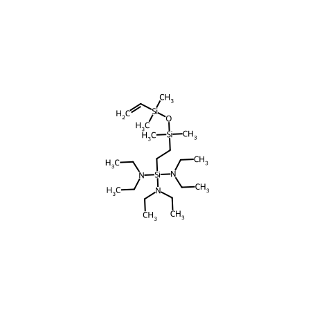 C=C[Si](C)(C)O[Si](C)(C)CC[Si](N(CC)CC)(N(CC)CC)N(CC)CC